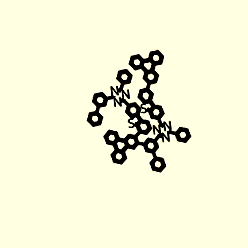 c1ccc(-c2cccc(-c3nc(-c4ccccc4)nc(-c4ccc5c(c4)sc4c(-c6cc7c8ccccc8c8ccccc8c7cc6-c6cc(-c7ccccc7)cc(-c7nc(-c8ccccc8)nc(-c8ccc9c(c8)sc8ccc(-c%10ccc%11c%12ccccc%12c%12ccccc%12c%11c%10)cc89)n7)c6)cccc45)n3)c2)cc1